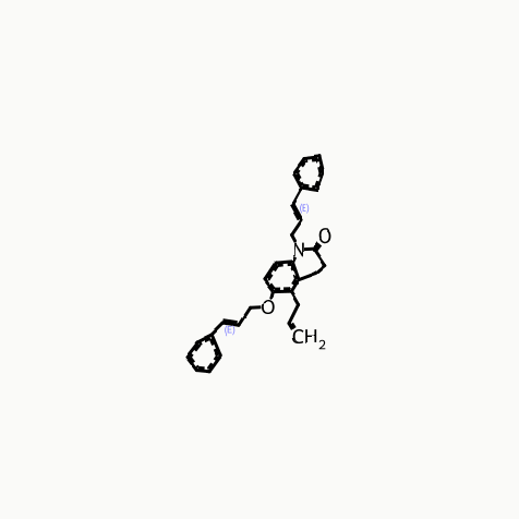 C=CCc1c(OC/C=C/c2ccccc2)ccc2c1CCC(=O)N2C/C=C/c1ccccc1